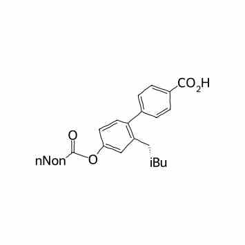 CCCCCCCCCC(=O)Oc1ccc(-c2ccc(C(=O)O)cc2)c(C[C@@H](C)CC)c1